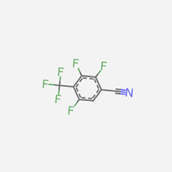 N#Cc1cc(F)c(C(F)(F)F)c(F)c1F